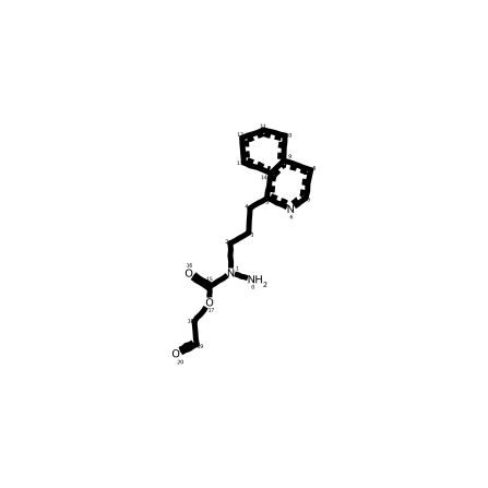 NN(CCCc1nccc2ccccc12)C(=O)OCC=O